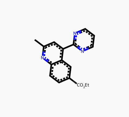 CCOC(=O)c1ccc2nc(C)cc(-c3ncccn3)c2c1